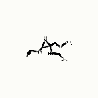 CCNC1(CON)NC1NC=O